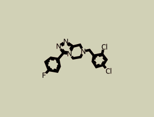 Fc1ccc(-c2nnc3n2CCN(Cc2ccc(Cl)cc2Cl)C3)cc1